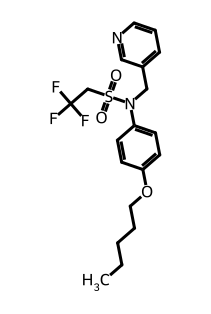 CCCCCOc1ccc(N(Cc2cccnc2)S(=O)(=O)CC(F)(F)F)cc1